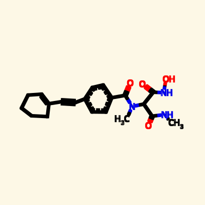 CNC(=O)C(C(=O)NO)N(C)C(=O)c1ccc(C#CC2=CCCCC2)cc1